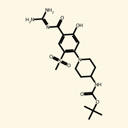 CC(C)(C)OC(=O)NC1CCN(c2cc(O)c(C(=O)N=C(N)N)cc2S(C)(=O)=O)CC1